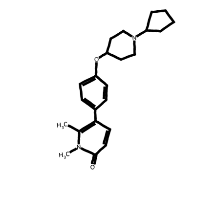 Cc1c(-c2ccc(OC3CCN(C4CCCC4)CC3)cc2)ccc(=O)n1C